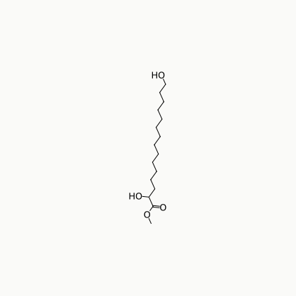 COC(=O)C(O)CCCCCCCCCCCCCO